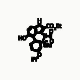 CCOC(=O)c1[nH]c2ccc(O)c(-c3ccc(OC(C)C)cc3)c2c1N(C(C)=O)C(=O)OC(C)(C)C